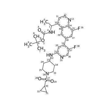 CC(NC(=O)OC(C)(C)C)c1ccnc2c(F)cc(-c3cc(NC4CCN(S(=O)(=O)C5CC5)CC4)ncc3F)cc12